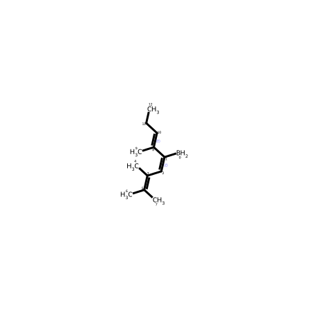 BC(=C/C(C)=C(C)C)/C(C)=C/CC